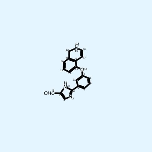 O=Cc1cnc(-c2cccc(Oc3cccc4c3C=CNC4)c2)[nH]1